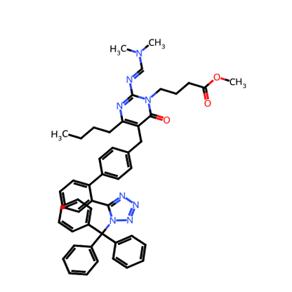 CCCCc1nc(N=CN(C)C)n(CCCC(=O)OC)c(=O)c1Cc1ccc(-c2ccccc2-c2nnnn2C(c2ccccc2)(c2ccccc2)c2ccccc2)cc1